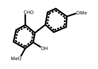 COc1ccc(-c2c(C=O)ccc(OC)c2O)cc1